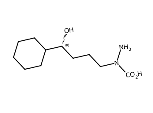 NN(CCC[C@@H](O)C1CCCCC1)C(=O)O